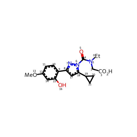 CCN(CC(=O)O)C(=O)n1nc(-c2ccc(OC)cc2O)cc1C1CC1